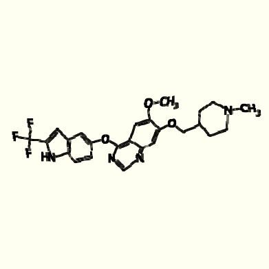 COc1cc2c(Oc3ccc4[nH]c(C(F)(F)F)cc4c3)ncnc2cc1OCC1CCN(C)CC1